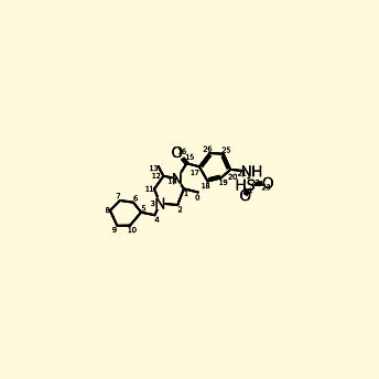 CC1CN(CC2CCCCC2)CC(C)N1C(=O)c1ccc(N[SH](=O)=O)cc1